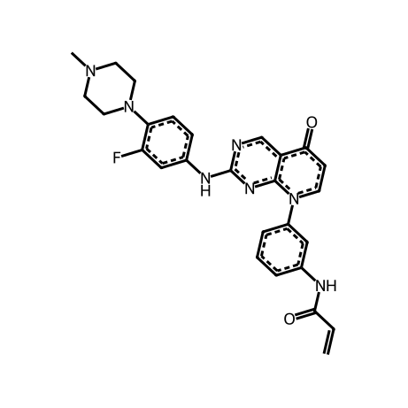 C=CC(=O)Nc1cccc(-n2ccc(=O)c3cnc(Nc4ccc(N5CCN(C)CC5)c(F)c4)nc32)c1